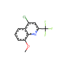 COc1cccc2c(Cl)cc(C(F)(F)F)nc12